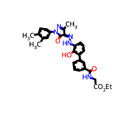 CCOC(=O)CNC(=O)c1cccc(-c2cccc(N/N=C3\C(=O)N(c4ccc(C)c(C)c4)N=C3C)c2O)c1